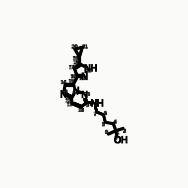 CC(C)(O)CCCCNc1ccc2ncc(-c3cc(C4CC4)[nH]n3)n2n1